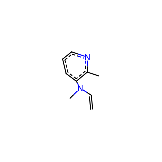 C=CN(C)c1cccnc1C